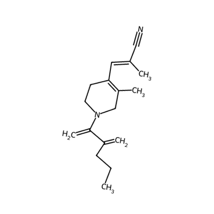 C=C(CCC)C(=C)N1CCC(/C=C(\C)C#N)=C(C)C1